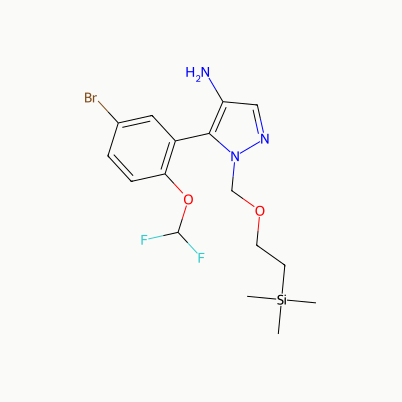 C[Si](C)(C)CCOCn1ncc(N)c1-c1cc(Br)ccc1OC(F)F